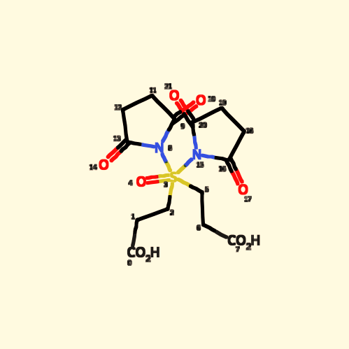 O=C(O)CCS(=O)(CCC(=O)O)(N1C(=O)CCC1=O)N1C(=O)CCC1=O